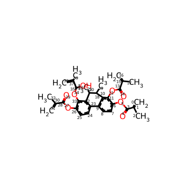 C=C(C)C(=O)Oc1ccc2c(c1OC(=O)C(=C)C)C(C)C(C)c1c-2ccc(OC(=O)C(=C)C)c1OC(O)C(=C)C